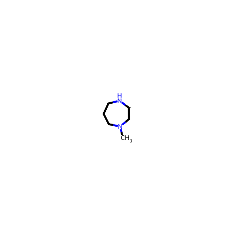 CN1C[CH]NCCC1